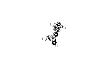 C=C(C)COc1ccc(Cl)cc1CN(CC)c1ccc(C(=O)NS(=O)(=O)c2c(C)noc2C)nn1